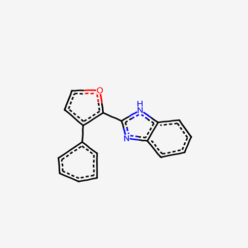 c1ccc(-c2ccoc2-c2nc3ccccc3[nH]2)cc1